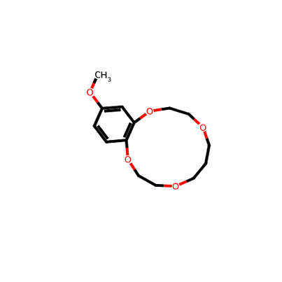 COc1ccc2c(c1)OCCOCCCOCCO2